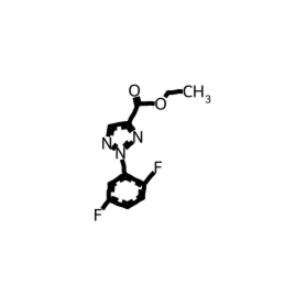 CCOC(=O)c1cnn(-c2cc(F)ccc2F)n1